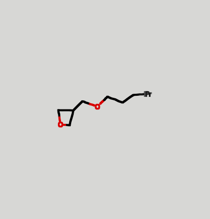 CC(C)CCCOCC1COC1